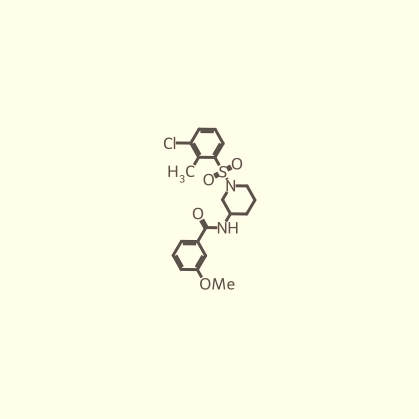 COc1cccc(C(=O)NC2CCCN(S(=O)(=O)c3cccc(Cl)c3C)C2)c1